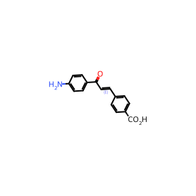 Nc1ccc(C(=O)/C=C/c2ccc(C(=O)O)cc2)cc1